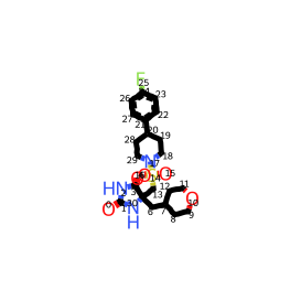 O=C1NC(=O)C(CC2CCOCC2)(CS(=O)(=O)N2CCC(c3ccc(F)cc3)CC2)N1